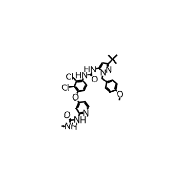 CNC(=O)Nc1cc(Oc2ccc(NC(=O)Nc3cc(C(C)(C)C)nn3Cc3ccc(OC)cc3)c(Cl)c2Cl)ccn1